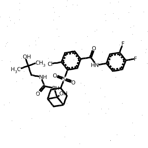 CC(C)(O)CNC(=O)PC1(O)C2CC1CC(S(=O)(=O)c1cc(C(=O)Nc3ccc(F)c(F)c3)ccc1Cl)C2